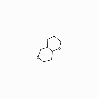 C1CO[C]2CCOCC2C1